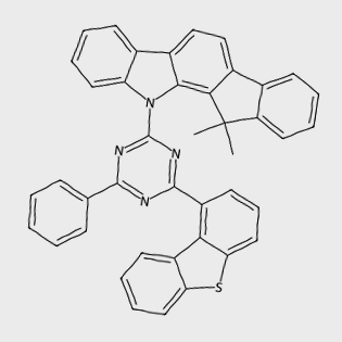 CC1(C)c2ccccc2-c2ccc3c4ccccc4n(-c4nc(-c5ccccc5)nc(-c5cccc6sc7ccccc7c56)n4)c3c21